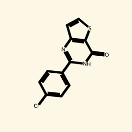 O=c1[nH]c(-c2ccc(Cl)cc2)nc2ccsc12